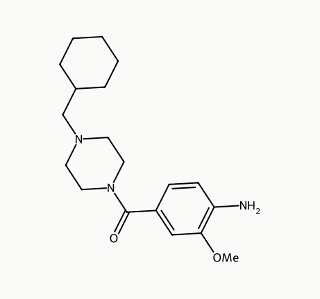 COc1cc(C(=O)N2CCN(CC3CCCCC3)CC2)ccc1N